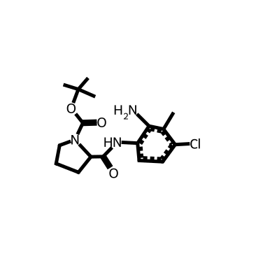 Cc1c(Cl)ccc(NC(=O)C2CCCN2C(=O)OC(C)(C)C)c1N